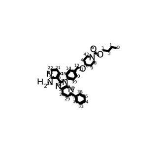 CCCCOC(=O)N1CCC(OCc2ccc(-n3c(-c4cccnc4N)nc4ccc(-c5ccccc5)nc43)cc2)CC1